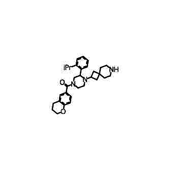 CC(C)c1ccccc1C1CN(C(=O)c2ccc3c(c2)CCCO3)CCN1C1CC2(CCNCC2)C1